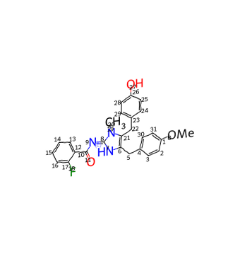 COc1ccc(Cc2[nH]/c(=N\C(=O)c3ccccc3F)n(C)c2Cc2ccc(O)cc2)cc1